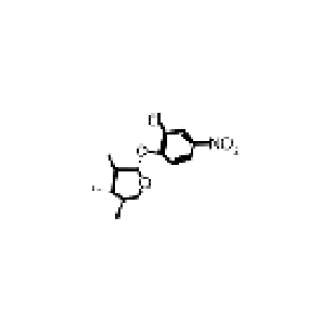 CC1[C@H](Oc2ccc([N+](=O)[O-])cc2Cl)OC[C@@H](C)[C@@H]1C